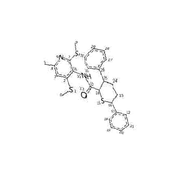 CSc1cc(C)nc(SC)c1NC(=O)C1SC(c2ccccc2)CCC1c1ccccc1